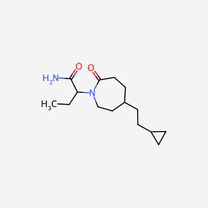 CCC(C(N)=O)N1CCC(CCC2CC2)CCC1=O